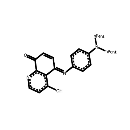 CCCCCN(CCCCC)c1ccc(N=C2C=CC(=O)c3nccc(O)c32)cc1